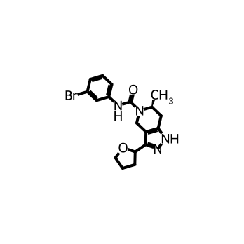 C[C@H]1Cc2[nH]nc(C3CCCO3)c2CN1C(=O)Nc1cccc(Br)c1